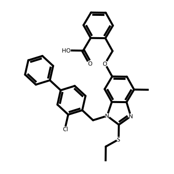 CCSc1nc2c(C)cc(OCc3ccccc3C(=O)O)cc2n1Cc1ccc(-c2ccccc2)cc1Cl